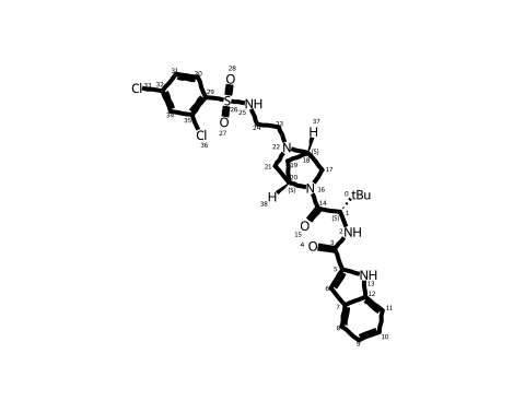 CC(C)(C)[C@H](NC(=O)c1cc2ccccc2[nH]1)C(=O)N1C[C@@H]2C[C@H]1CN2CCNS(=O)(=O)c1ccc(Cl)cc1Cl